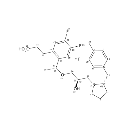 Cc1ccc(C[C@@H]2CCCN2C[C@@H](O)CO[C@H](C)c2cc(F)c(F)cc2CCC(=O)O)cc1F